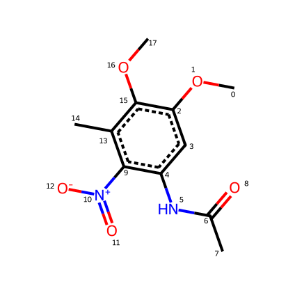 COc1cc(NC(C)=O)c([N+](=O)[O-])c(C)c1OC